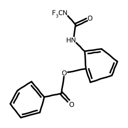 O=C(Nc1ccccc1OC(=O)c1ccccc1)NC(F)(F)F